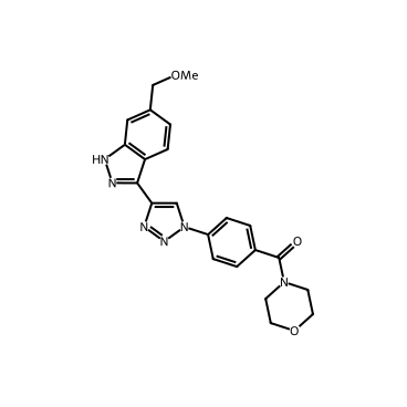 COCc1ccc2c(-c3cn(-c4ccc(C(=O)N5CCOCC5)cc4)nn3)n[nH]c2c1